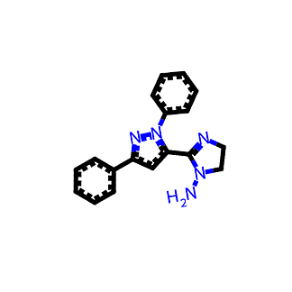 NN1CCN=C1c1cc(-c2ccccc2)nn1-c1ccccc1